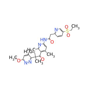 CCC(C)(C(=O)c1c(C)cc(NC(=O)Cc2ccc(S(=O)(=O)CC)cn2)nc1C)c1ccc(OC)nn1